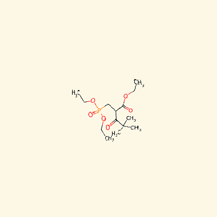 CCOC(=O)C(CP(=O)(OCC)OCC)C(=O)C(C)(C)C